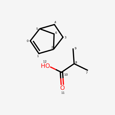 C1=CC2CCC1C2.CC(C)C(=O)O